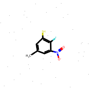 Cc1cc(S)c(F)c([N+](=O)[O-])c1